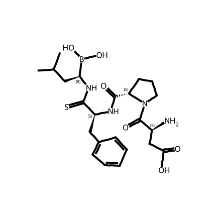 CC(C)C[C@H](NC(=S)[C@H](Cc1ccccc1)NC(=O)[C@@H]1CCCN1C(=O)[C@@H](N)CC(=O)O)B(O)O